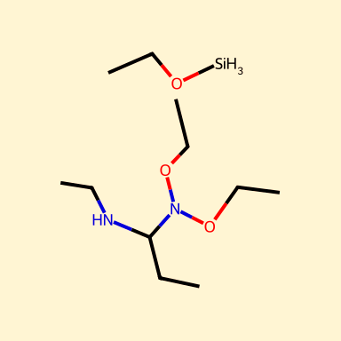 CCNC(CC)N(OCC)OCC.CCO[SiH3]